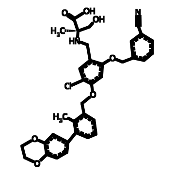 Cc1c(COc2cc(OCc3cccc(C#N)c3)c(CN[C@](C)(CO)C(=O)O)cc2Cl)cccc1-c1ccc2c(c1)OCCO2